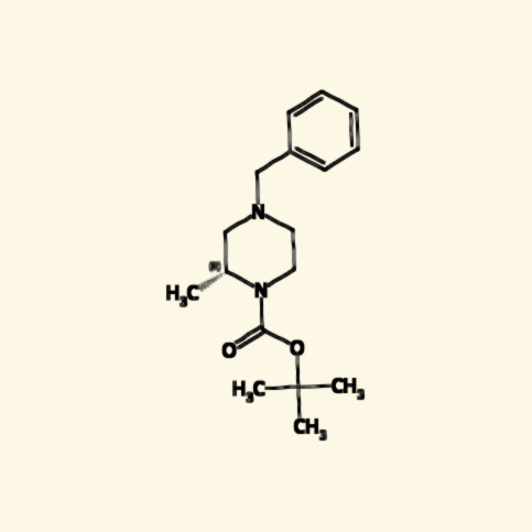 C[C@@H]1CN(Cc2ccccc2)CCN1C(=O)OC(C)(C)C